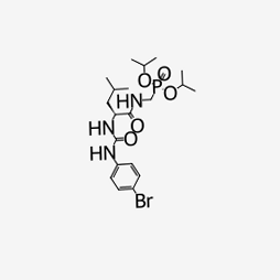 CC(C)C[C@H](NC(=O)Nc1ccc(Br)cc1)C(=O)NCP(=O)(OC(C)C)OC(C)C